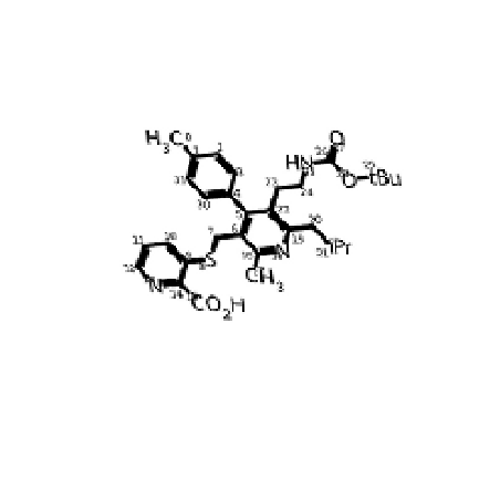 Cc1ccc(-c2c(CSc3cccnc3C(=O)O)c(C)nc(CC(C)C)c2CCNC(=O)OC(C)(C)C)cc1